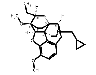 CC[C@H]1C[C@@]23CC[C@]1(OC)[C@@H]1Oc4c(OC)ccc5c4[C@@]12CCN(CC1CC1)[C@@H]3C5